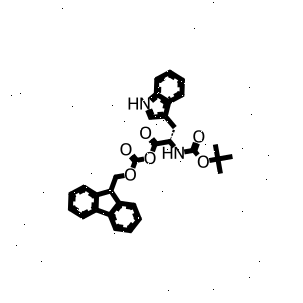 CC(C)(C)OC(=O)N[C@@H](Cc1c[nH]c2ccccc12)C(=O)OC(=O)OCC1c2ccccc2-c2ccccc21